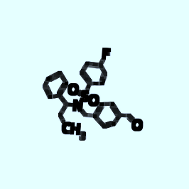 CCC(c1ccccc1)N(Cc1ccc(C=O)cc1)S(=O)(=O)c1ccc(F)cc1